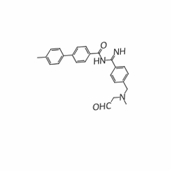 Cc1ccc(-c2ccc(C(=O)NC(=N)c3ccc(CN(C)CC=O)cc3)cc2)cc1